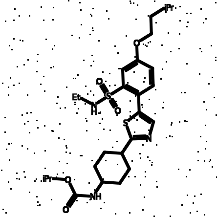 CCNS(=O)(=O)c1cc(OCCC(C)C)ccc1-c1cnc(C2CCC(NC(=O)OC(C)C)CC2)s1